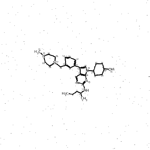 CCCC(C)Nc1ncc2c(-c3cccc(CN4CCN(C)CC4)c3)cn(C3CCC(O)CC3)c2n1